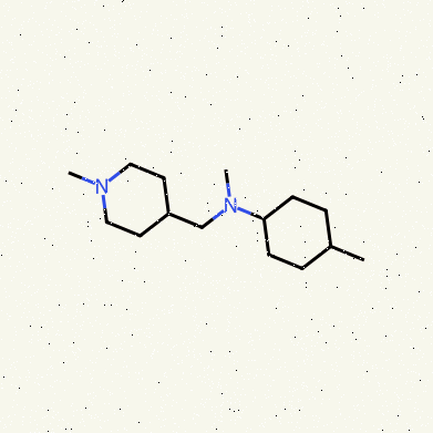 CC1CCC(N(C)CC2CCN(C)CC2)CC1